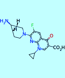 N[C@@H]1[C@H]2CCN(c3nc4c(cc3F)c(=O)c(C(=O)O)cn4C3CC3)C[C@@H]12